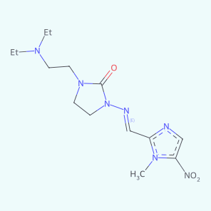 CCN(CC)CCN1CCN(/N=C/c2ncc([N+](=O)[O-])n2C)C1=O